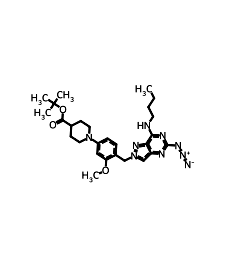 CCCCNc1nc(N=[N+]=[N-])nc2cn(Cc3ccc(N4CCC(C(=O)OC(C)(C)C)CC4)cc3OC)nc12